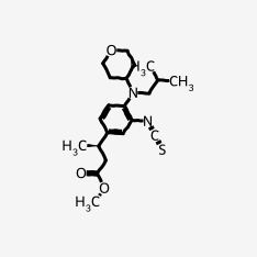 COC(=O)C[C@@H](C)c1ccc(N(CC(C)C)C2CCOCC2)c(N=C=S)c1